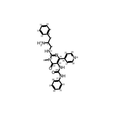 Cn1c(NCC(N)Cc2ccccc2)nc(-c2ccncc2)c(NC(=O)Nc2ccccc2)c1=O